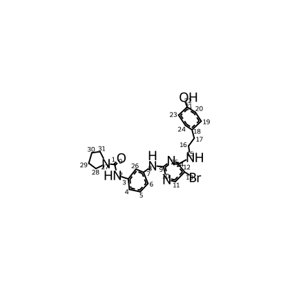 O=C(Nc1cccc(Nc2ncc(Br)c(NCCc3ccc(O)cc3)n2)c1)N1CCCC1